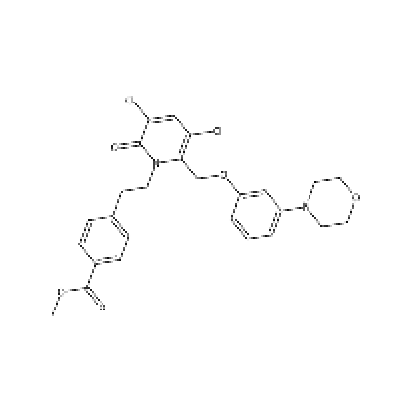 COC(=O)c1ccc(CCn2c(COc3cccc(N4CCOCC4)c3)c(Cl)cc(Cl)c2=O)cc1